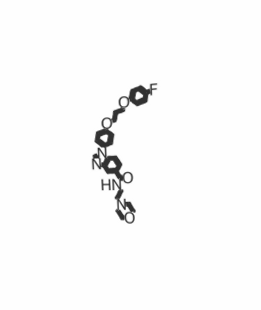 O=C(NCCN1CCOCC1)c1ccc2c(c1)ncn2-c1ccc(OCCCOc2ccc(F)cc2)cc1